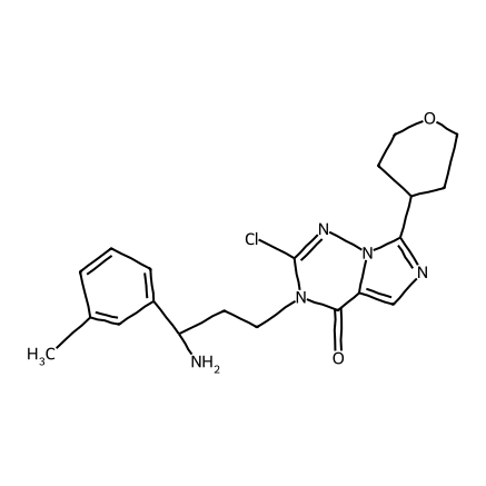 Cc1cccc(C(N)CCn2c(Cl)nn3c(C4CCOCC4)ncc3c2=O)c1